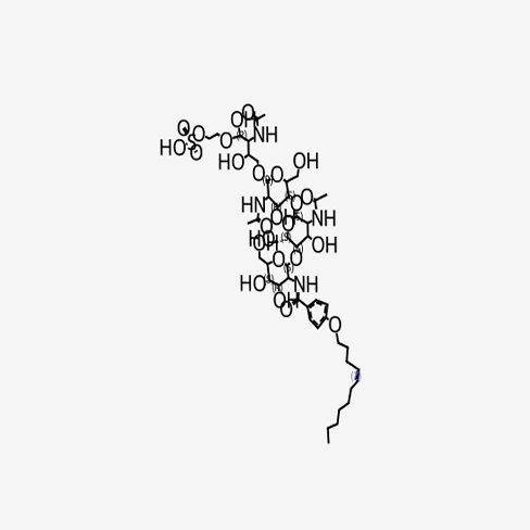 CCCCCC/C=C\CCCOc1ccc(C(=O)NC2[C@H](O[C@H]3C(O)C(NC(C)=O)[C@H](O[C@@H]4C(CO)O[C@@H](OCC(O)C(NC(C)=O)[C@H](O)OCCOS(=O)(=O)O)C(NC(C)=O)[C@H]4O)O[C@H]3CO)OC(CO)[C@@H](O)[C@@H]2O)cc1